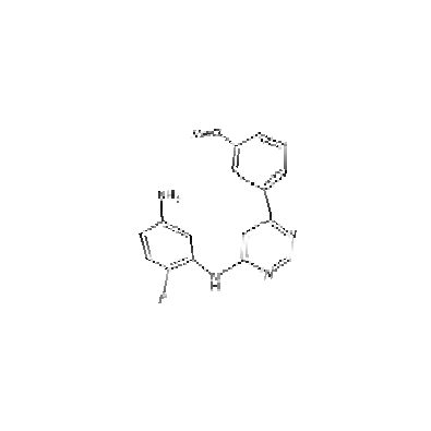 COc1cccc(-c2cc(Nc3cc(N)ccc3F)ncn2)c1